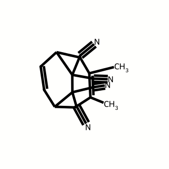 CC1=C(C)CC2C=CC(C1)C(C#N)(C#N)C2(C#N)C#N